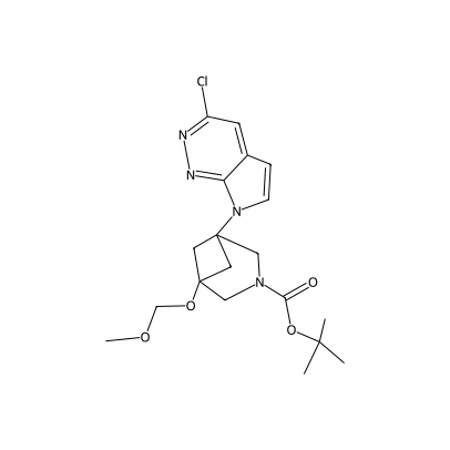 COCOC12CN(C(=O)OC(C)(C)C)CC(n3ccc4cc(Cl)nnc43)(C1)C2